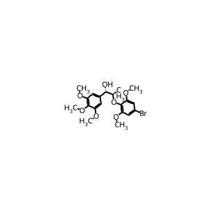 COc1cc([C@H](O)[C@@H](C)Oc2c(OC)cc(Br)cc2OC)cc(OC)c1OC